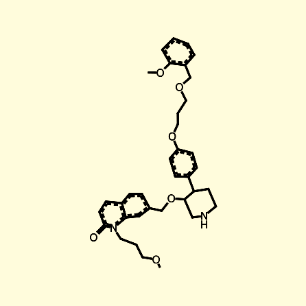 COCCCn1c(=O)ccc2ccc(COC3CNCCC3c3ccc(OCCCOCc4ccccc4OC)cc3)cc21